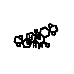 C[C@@H]1C(=O)C2CC3(CC[C@]2(C)[C@H]2CC[C@@]4(C)[C@@H](CCC45OCCO5)[C@H]12)OCCO3